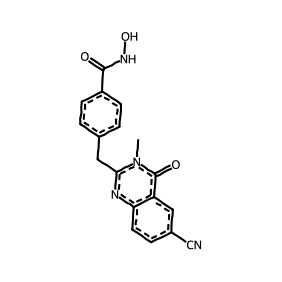 Cn1c(Cc2ccc(C(=O)NO)cc2)nc2ccc(C#N)cc2c1=O